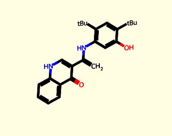 C=C(Nc1cc(O)c(C(C)(C)C)cc1C(C)(C)C)c1c[nH]c2ccccc2c1=O